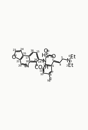 CCN(CC)CC=Cc1cc(F)ccc1N(c1ccc2c(ncc3occc32)c1C(=O)O)[SH](=O)=O